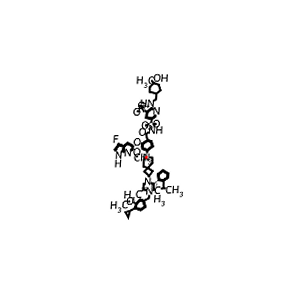 COc1cc(CN2C[C@@H](c3ccccc3C(C)C)N(C3CC4(CCN(c5ccc(C(=O)NS(=O)(=O)c6cnc(NCC7CCC(C)(O)CC7)c([N+](=O)[O-])c6)c(Oc6cc7c(F)c[nH]c7nc6OC)c5)CC4)C3)C[C@H]2C)ccc1C1CC1